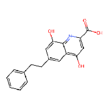 O=C(O)c1cc(O)c2cc(CCc3ccccc3)cc(O)c2n1